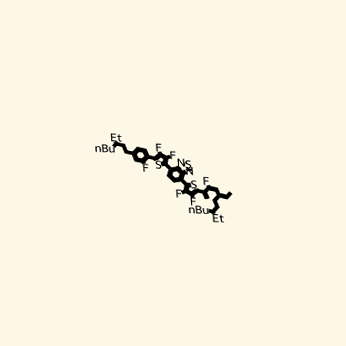 C=C(/C(F)=C\C(=C/C)CCC(CC)CCCC)c1sc(-c2ccc(-c3sc(-c4ccc(CCC(CC)CCCC)cc4F)c(F)c3F)c3nsnc23)c(F)c1F